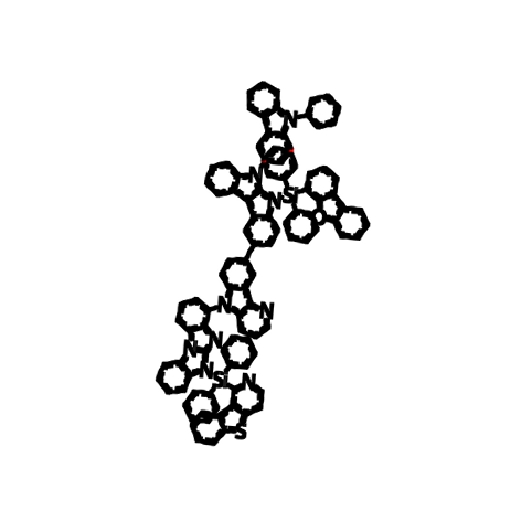 c1ccc(-n2c3ccccc3c3cc(-n4c5ccccc5c5c6cc(-c7ccc8c(c7)c7ncccc7n8-c7cccc8c7nc7n([Si](c9ccccc9)(c9ccccc9)c9nccc%10sc%11ccccc%11c9%10)c9ccccc9n87)ccc6n([Si](c6ccccc6)(c6ccccc6)c6cccc7c6oc6ccccc67)c54)ccc32)cc1